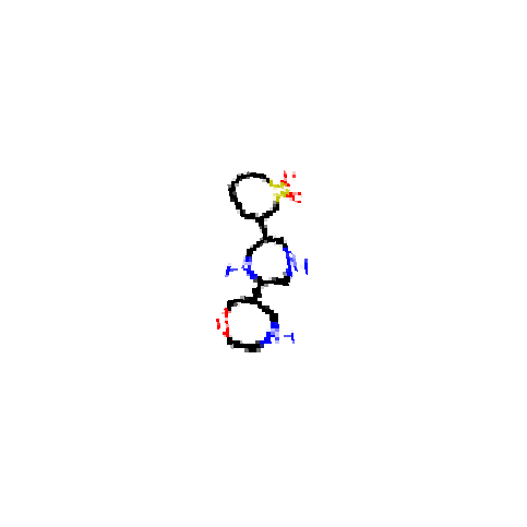 O=S1(=O)CCCCC(C2CNCC(C3CNCCOC3)NC2)C1